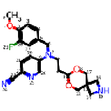 COc1ccc(CN(CCC2OCC3(CNC3)CO2)c2ccc(C#N)nc2)cc1F